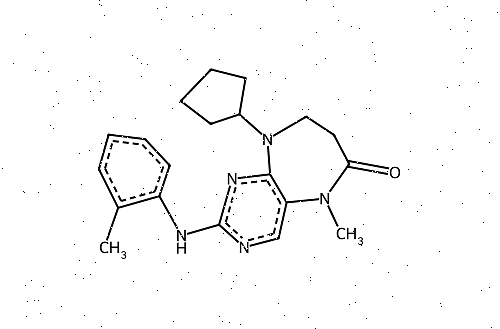 Cc1ccccc1Nc1ncc2c(n1)N(C1CCCC1)CCC(=O)N2C